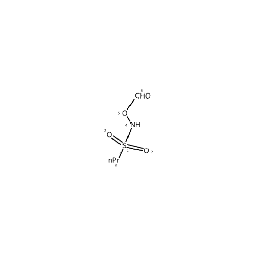 CCCS(=O)(=O)NOC=O